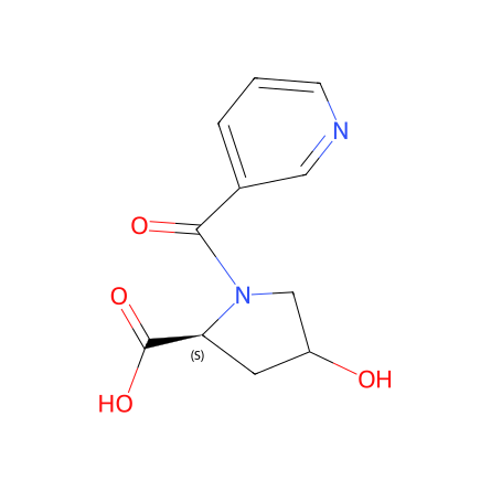 O=C(O)[C@@H]1CC(O)CN1C(=O)c1cccnc1